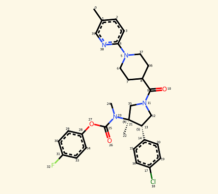 Cc1ccc(N2CCC(C(=O)N3C[C@H](c4ccc(Cl)cc4)[C@@](C)(N(C)C(=O)Oc4ccc(F)cc4)C3)CC2)nc1